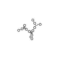 CC1(C)c2ccccc2-c2ccc(-n3c4ccc(-c5ccc(C(CCc6ccccc6)c6ccc(-c7ccccc7)cc6)cc5)cc4c4cc(-c5ccc(N(c6ccccc6)c6ccc(-c7ccccc7)cc6)cc5)ccc43)cc21